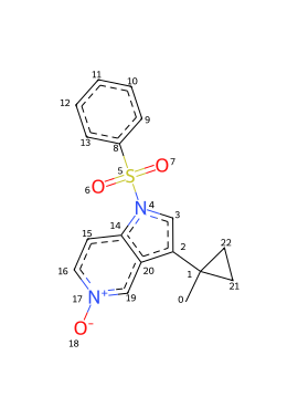 CC1(c2cn(S(=O)(=O)c3ccccc3)c3cc[n+]([O-])cc23)CC1